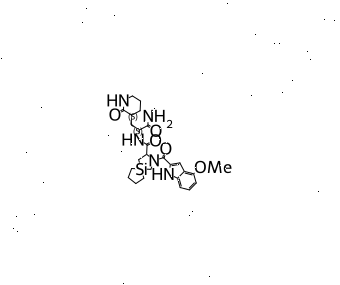 COc1cccc2[nH]c(C(=O)N3C[Si]4(CCCC4)CC3C(=O)N[C@@H](C[C@@H]3CCCNC3=O)C(N)=O)cc12